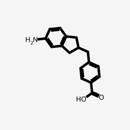 Nc1ccc2c(c1)CC(Cc1ccc(C(=O)O)cc1)C2